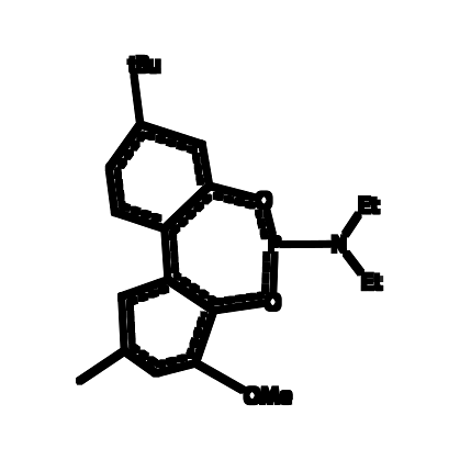 CCN(CC)p1oc2cc(C(C)(C)C)ccc2c2cc(C)cc(OC)c2o1